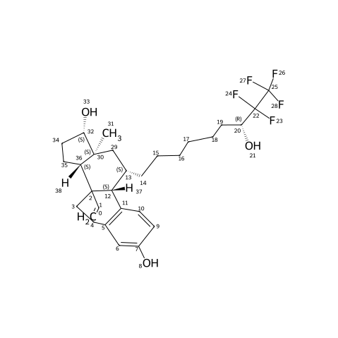 C=CC12CCc3cc(O)ccc3[C@H]1[C@@H](CCCCCC[C@@H](O)C(F)(F)C(F)(F)F)C[C@]1(C)[C@@H](O)CC[C@@H]21